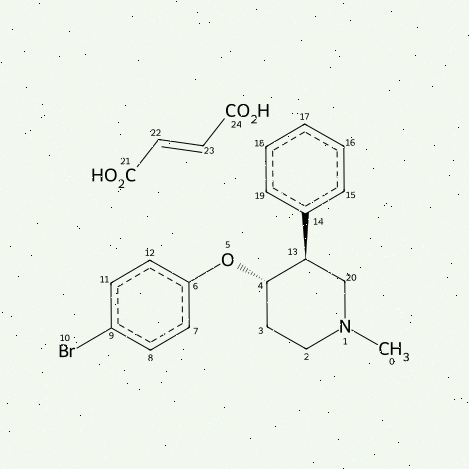 CN1CC[C@H](Oc2ccc(Br)cc2)[C@@H](c2ccccc2)C1.O=C(O)/C=C/C(=O)O